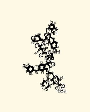 C[C@@H]1COCCN1C[C@H]1CN(C(=O)OC(C)(C)C)[C@@H](C)CN1CC(=O)N1C[C@@](C)(C(=O)NCC(=O)Nc2ccc3c(c2)CN(C(=O)[C@@H](NC(=O)[C@H](C)N(C)C(=O)OC(C)(C)C)C2CCOCC2)[C@H](C(=O)Nc2c(F)cccc2F)C3)c2ccc(Cc3ccc(F)cc3)cc21